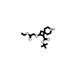 CCOC(=O)COC1CC2(CCNCC2)C1C(=O)OC(C)(C)C